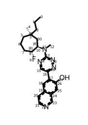 CCC[C@]1(C)CCC[C@@H](F)[C@H](N(C)c2ncc(-c3cc4ccncc4cc3O)nn2)C1